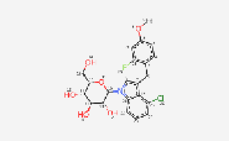 CCOc1ccc(Cc2cn([C@@H]3O[C@H](CO)[C@@H](O)[C@H](O)[C@H]3O)c3cccc(Cl)c23)c(F)c1